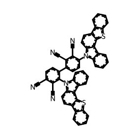 N#Cc1ccc(-c2ccc(-n3c4ccccc4c4c5sc6ccccc6c5ccc43)c(C#N)c2C#N)c(-n2c3ccccc3c3c4sc5ccccc5c4ccc32)c1C#N